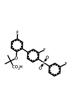 CC(C)(Oc1ccc(F)cc1-c1ccc(S(=O)(=O)c2cccc(F)c2)c(F)c1)C(=O)O